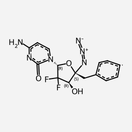 [N-]=[N+]=N[C@@]1(Cc2cc[c]cc2)O[C@@H](n2ccc(N)nc2=O)C(F)(F)[C@@H]1O